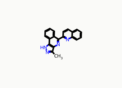 Cc1n[nH]c2c1nc(-c1ccc3ccccc3n1)c1ccccc12